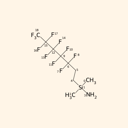 C[Si](C)(N)CCC(F)(F)C(F)(F)C(F)(F)C(F)(F)C(F)(F)F